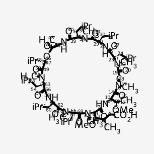 CO[C@H]([C@H](C)CC(=O)O)[C@@H]1C(=O)N[C@H]([C@@H](C)OC)C(=O)N(C)CC(=O)N(C)[C@@H](CC(C)C)C(=O)N[C@H](CC(C)C)C(=O)N(C)[C@H](CC(C)C)C(=O)N[C@H](C)C(=O)O[C@@H](C(C)C)C(=O)N(C)[C@H](CC(C)C)C(=O)N[C@H](CC(C)C)C(=O)N(C)[C@H](C(C)C)C(=O)N1C